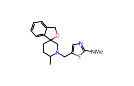 CNc1ncc(CN2CC3(CCC2C)OCc2ccccc23)s1